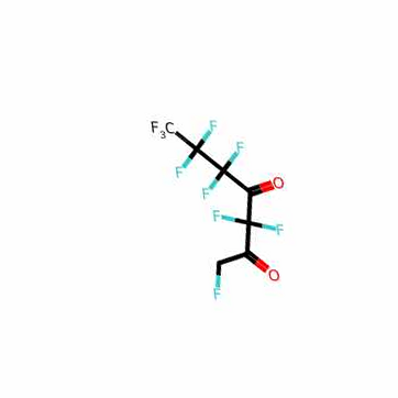 O=C(CF)C(F)(F)C(=O)C(F)(F)C(F)(F)C(F)(F)F